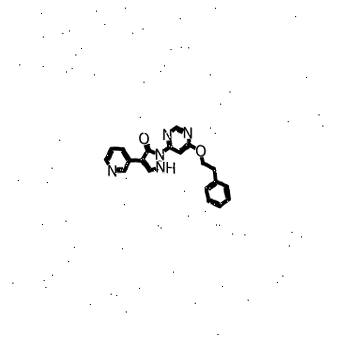 O=c1c(-c2cccnc2)c[nH]n1-c1cc(OCCc2ccccc2)ncn1